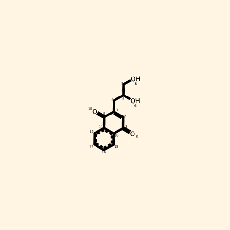 O=C1C=C(CC(O)CO)C(=O)c2ccccc21